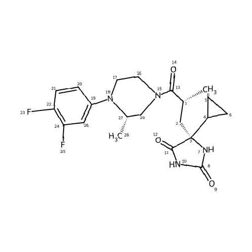 C[C@H](C[C@]1(C2CC2)NC(=O)NC1=O)C(=O)N1CCN(c2ccc(F)c(F)c2)[C@@H](C)C1